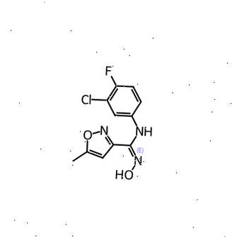 Cc1cc(/C(=N\O)Nc2ccc(F)c(Cl)c2)no1